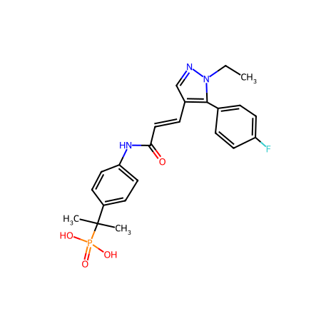 CCn1ncc(/C=C/C(=O)Nc2ccc(C(C)(C)P(=O)(O)O)cc2)c1-c1ccc(F)cc1